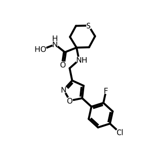 O=C(NO)C1(NCc2cc(-c3ccc(Cl)cc3F)on2)CCSCC1